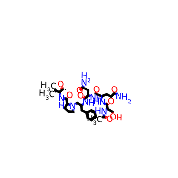 CC(=O)NC(CO)C(=O)NC(CCC(N)=O)C(=O)NC(CC(N)=O)C(=O)NC(Cc1ccccc1)CN1CCCC1C(=O)NC([C]=O)C(C)C